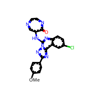 COc1ccc(-c2nc3c4cc(Cl)ccc4nc(Nc4cnccnc4=O)n3n2)cc1